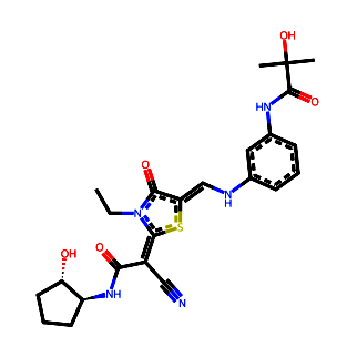 CCn1c(=C(C#N)C(=O)N[C@H]2CCC[C@@H]2O)sc(=CNc2cccc(NC(=O)C(C)(C)O)c2)c1=O